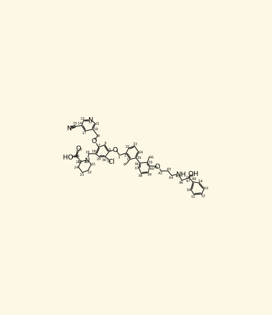 Cc1c(COc2cc(OCc3cncc(C#N)c3)c(CN3CCCC[C@H]3C(=O)O)cc2Cl)cccc1-c1cccc(OCCCNC[C@@H](O)c2ccccc2)c1C